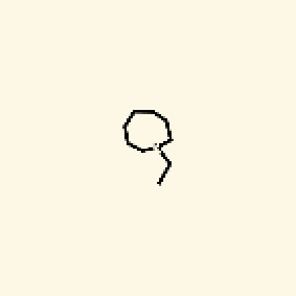 CCN1CCCCCCC1